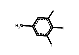 [SiH3]c1cc(I)c(I)c(I)c1